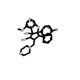 COc1cncc2c1C1(O)C(O)C(CN3CCOCC3)C(c3ccccc3)C1(c1ccc(Br)cc1)O2